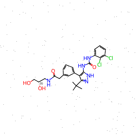 CC(C)(C)c1n[nH]c(NC(=O)Nc2cccc(Cl)c2Cl)c1-c1cccc(CC(=O)NC[C@H](O)CO)c1